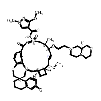 COc1nn(C)cc1C(=O)N[S@@]1(=O)=NC(=O)c2ccc3c(c2)N(C[C@@H]2CC[C@H]2[C@@H](OC)/C=C/[C@H](OCCN2CCN4CCOC[C@@H]4C2)[C@H](C)C1)C[C@@]1(CCCc2cc(Cl)ccc21)CO3